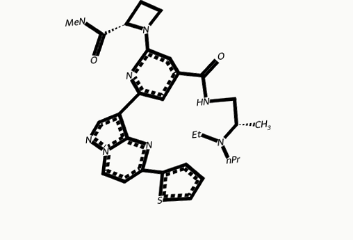 CCCN(CC)[C@@H](C)CNC(=O)c1cc(-c2cnn3ccc(-c4cccs4)nc23)nc(N2CC[C@H]2C(=O)NC)c1